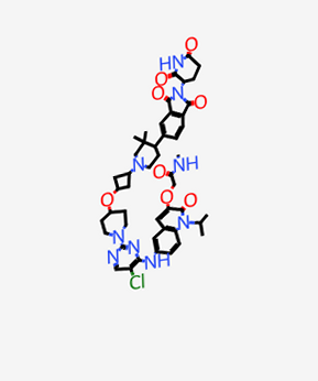 CNC(=O)COc1cc2cc(Nc3nc(N4CCC(OC5CC(N6CCC(c7ccc8c(c7)C(=O)N(C7CCC(=O)NC7=O)C8=O)C(C)(C)C6)C5)CC4)ncc3Cl)ccc2n(C(C)C)c1=O